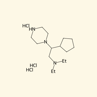 CCN(CC)CC(C1CCCC1)N1CCNCC1.Cl.Cl.Cl